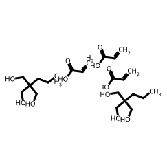 C=CC(=O)O.C=CC(=O)O.C=CC(=O)O.CCCC(CO)(CO)CO.CCCC(CO)(CO)CO